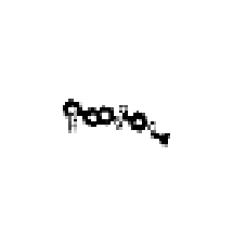 CN(C(=O)c1ccc(OCC2CC2)cc1)C1CCc2cc(C3CCCCN3)ccc2C1